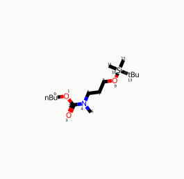 CCCCOC(=O)N(C)CCCO[Si](C)(C)C(C)(C)C